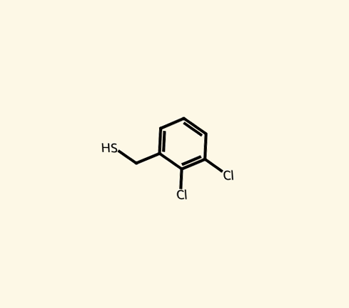 SCc1cccc(Cl)c1Cl